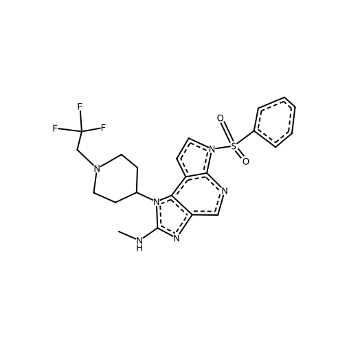 CNc1nc2cnc3c(ccn3S(=O)(=O)c3ccccc3)c2n1C1CCN(CC(F)(F)F)CC1